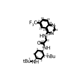 CCCC[C@@H]1C[C@H](NC(C)(C)C)CC[C@@H]1NC(=O)CNc1ncnc2ccc(C(F)(F)F)cc12